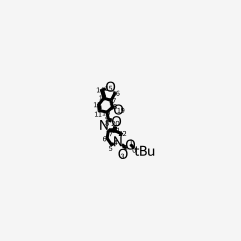 CC(C)(C)OC(=O)N1CCc2nc(C3C=CC4=COCC4C3=O)oc2C1